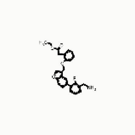 CCOC(=O)Cc1ccccc1OCc1coc2ccc(-c3cccc(CN)c3F)cc12